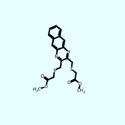 COC(=O)CSCc1nc2cc3ccccc3cc2nc1CSCC(=O)OC